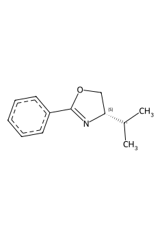 C[C](C)[C@H]1COC(c2ccccc2)=N1